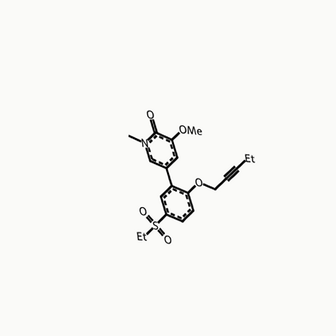 CCC#CCOc1ccc(S(=O)(=O)CC)cc1-c1cc(OC)c(=O)n(C)c1